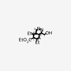 CCOC(=O)c1c(CC)cc2c(CO)nncc2c1CC